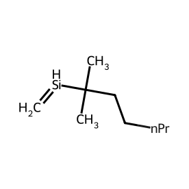 C=[SiH]C(C)(C)CCCCC